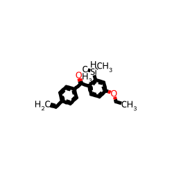 C=Cc1ccc(C(=O)c2ccc(OCC)cc2[SiH](C)C)cc1